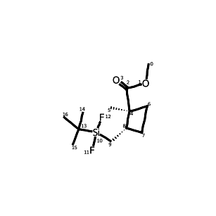 COC(=O)[C@@]1(C)CC[C@@H]1C[Si](F)(F)C(C)(C)C